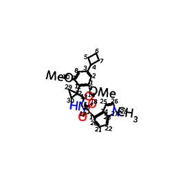 COc1cc(C2CCC2)cc(OC)c1C1(C(=O)NS(=O)(=O)c2cccc3c2ccn3C)CC1